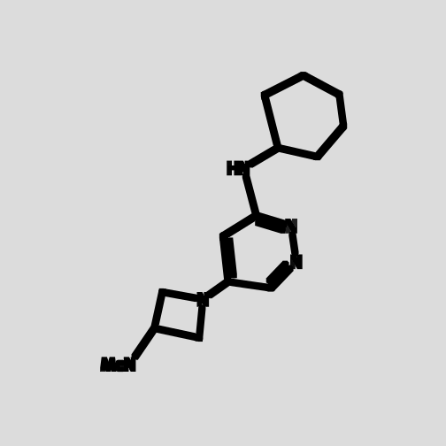 CNC1CN(c2cnnc(NC3CCCCC3)c2)C1